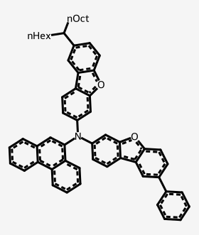 CCCCCCCCC(CCCCCC)c1ccc2oc3cc(N(c4ccc5c(c4)oc4ccc(-c6ccccc6)cc45)c4cc5ccccc5c5ccccc45)ccc3c2c1